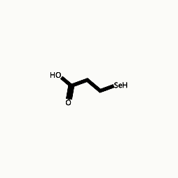 O=C(O)CC[SeH]